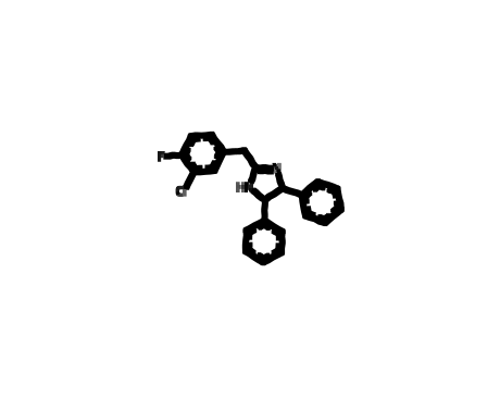 Fc1ccc(CC2=NC(c3ccccc3)C(c3ccccc3)N2)cc1Cl